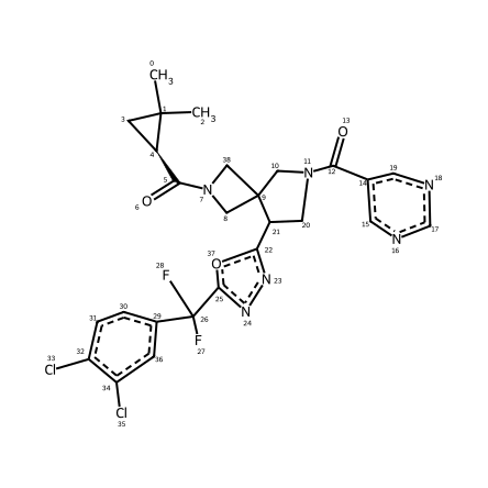 CC1(C)C[C@@H]1C(=O)N1CC2(CN(C(=O)c3cncnc3)CC2c2nnc(C(F)(F)c3ccc(Cl)c(Cl)c3)o2)C1